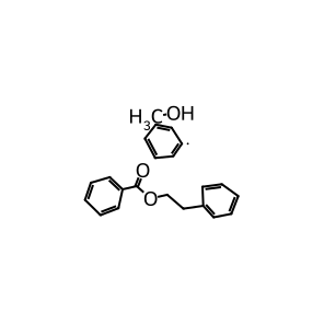 CO.O=C(OCCc1ccccc1)c1ccccc1.[c]1ccccc1